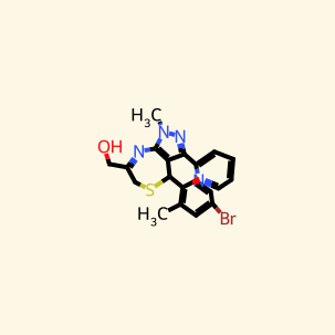 Cc1cc(Br)ccc1C1SCC(CO)=Nc2c1c(-c1ccccn1)nn2C